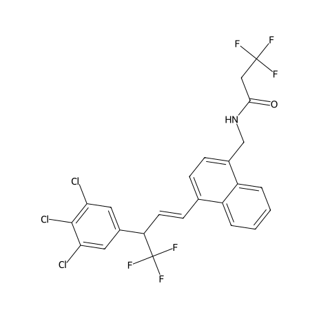 O=C(CC(F)(F)F)NCc1ccc(C=CC(c2cc(Cl)c(Cl)c(Cl)c2)C(F)(F)F)c2ccccc12